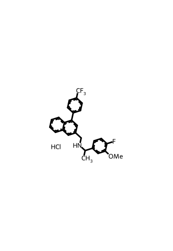 COc1cc(C(C)NCc2cc(-c3ccc(C(F)(F)F)cc3)c3ccccc3c2)ccc1F.Cl